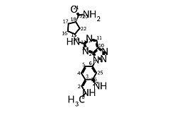 CN/C=C1/C=CC(n2nnc3cnc(N[C@@H]4CC[C@@H](C(N)=O)C4)nc32)=CC1=N